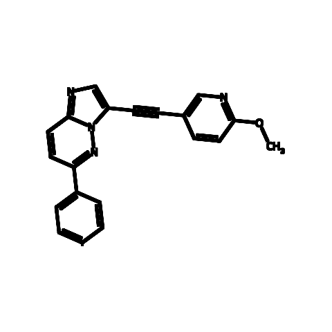 COc1ccc(C#Cc2cnc3ccc(-c4cc[c]cc4)nn23)cn1